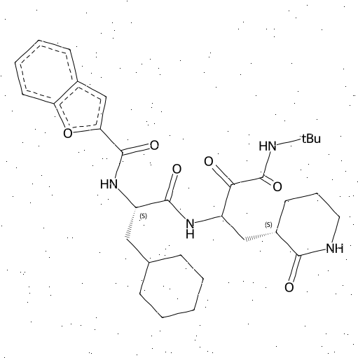 CC(C)(C)NC(=O)C(=O)C(C[C@@H]1CCCNC1=O)NC(=O)[C@H](CC1CCCCC1)NC(=O)c1cc2ccccc2o1